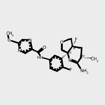 COc1cnc(C(=O)Nc2ccc(F)c([C@]34COC[C@@]3(F)C[C@H](C)C(N)=N4)c2)cn1